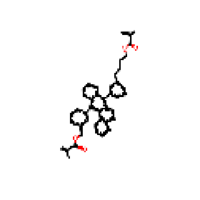 C=C(C)C(=O)OCCCCc1cccc(-c2c3ccccc3c(-c3cccc(COC(=O)C(=C)C)c3)c3c2ccc2ccccc23)c1